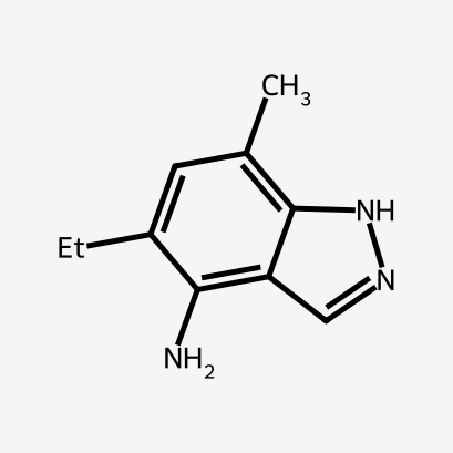 CCc1cc(C)c2[nH]ncc2c1N